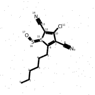 CCCCCCC1=C(C#N)C(Cl)=C(C#N)S1=S=O